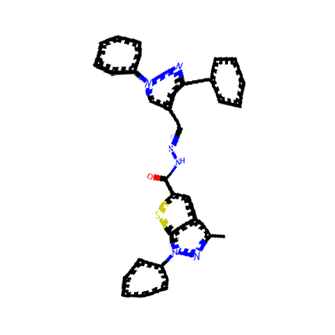 Cc1nn(-c2ccccc2)c2sc(C(=O)N/N=C/c3cn(-c4ccccc4)nc3-c3ccccc3)cc12